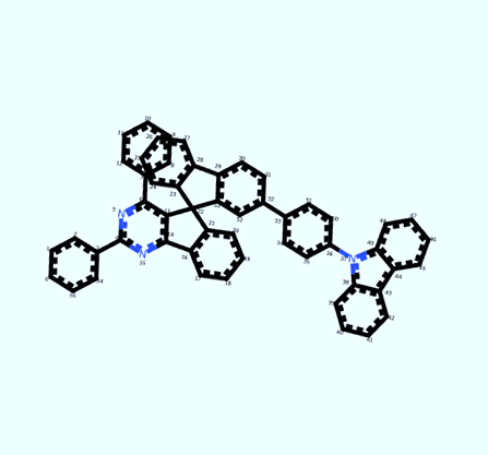 c1ccc(-c2nc(-c3ccccc3)c3c(n2)-c2ccccc2C32c3ccccc3-c3ccc(-c4ccc(-n5c6ccccc6c6ccccc65)cc4)cc32)cc1